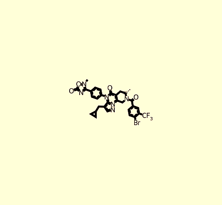 C[C@H]1Cc2c(n3ncc(CC4CC4)c3n(-c3ccc(-c4nc(=O)on4C)cc3)c2=O)CN1C(=O)c1ccc(Br)c(C(F)(F)F)c1